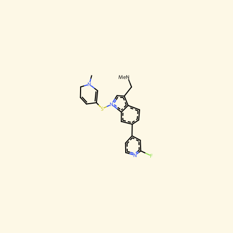 CNCc1cn(SC2=CN(C)CC=C2)c2cc(-c3ccnc(F)c3)ccc12